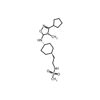 CN1C(C2CCCC2)=NOC1N[C@H]1CC[C@H](CCNS(C)(=O)=O)CC1